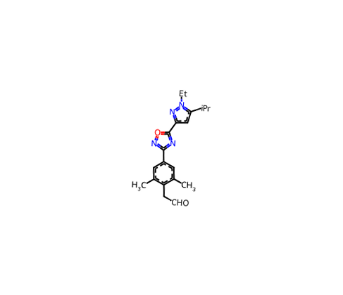 CCn1nc(-c2nc(-c3cc(C)c(CC=O)c(C)c3)no2)cc1C(C)C